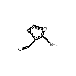 Bc1occc1C=O